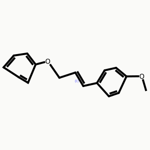 COc1ccc(/C=C/COc2ccccc2)cc1